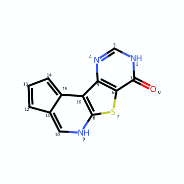 O=c1[nH]cnc2c1sc1[nH]cc3cccc-3c12